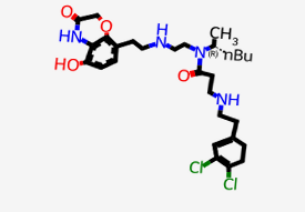 CCCC[C@@H](C)N(CCNCCc1ccc(O)c2c1OCC(=O)N2)C(=O)CCNCCC1=CC(Cl)=C(Cl)CC1